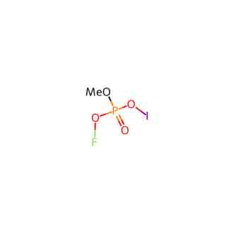 COP(=O)(OF)OI